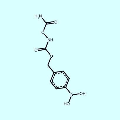 NC(=O)ONC(=O)OCc1ccc(B(O)O)cc1